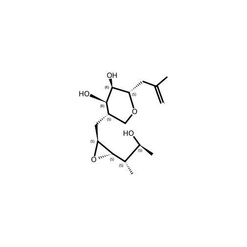 [CH]=C(C)C[C@@H]1OC[C@H](C[C@@H]2O[C@H]2[C@@H](C)[C@H](C)O)[C@@H](O)[C@H]1O